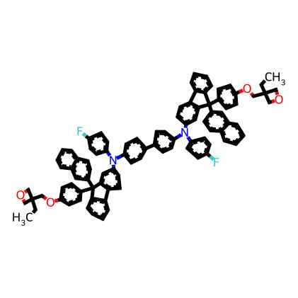 CCC1(COc2ccc(C3(c4ccc5ccccc5c4)c4ccccc4-c4ccc(N(c5ccc(F)cc5)c5ccc(-c6ccc(N(c7ccc(F)cc7)c7ccc8c(c7)C(c7ccc(OCC9(CC)COC9)cc7)(c7ccc9ccccc9c7)c7ccccc7-8)cc6)cc5)cc43)cc2)COC1